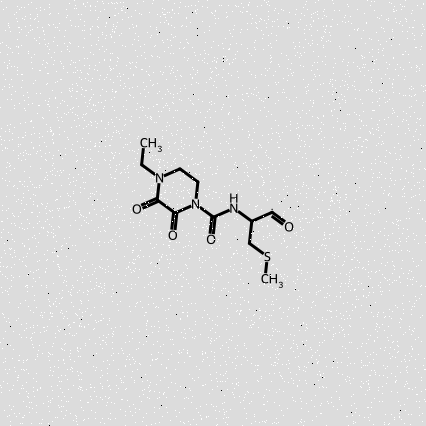 CCN1CCN(C(=O)NC([C]=O)CSC)C(=O)C1=O